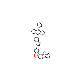 c1ccc(-c2c3ccccc3c(-c3ccc4cc(-c5ccc6oc7ccc8c9ccccc9oc8c7c6c5)ccc4c3)c3ccccc23)cc1